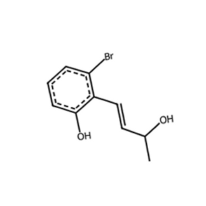 CC(O)/C=C/c1c(O)cccc1Br